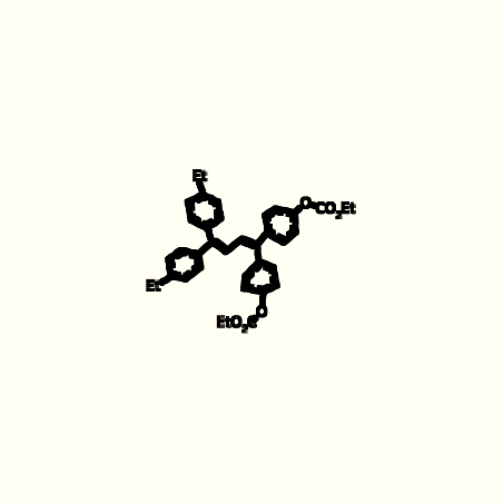 CCOC(=O)Oc1ccc(C(=CC=C(c2ccc(CC)cc2)c2ccc(CC)cc2)c2ccc(OC(=O)OCC)cc2)cc1